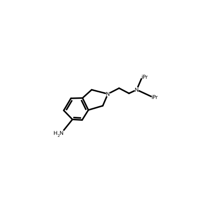 CC(C)N(CCN1Cc2ccc(N)cc2C1)C(C)C